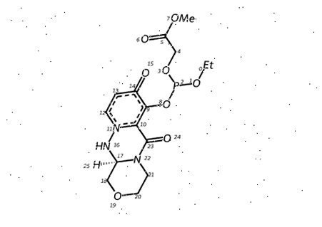 CCOP(OCC(=O)OC)Oc1c2n(ccc1=O)N[C@@H]1COCCN1C2=O